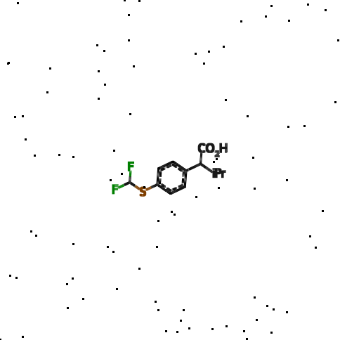 CC(C)C(C(=O)O)c1ccc(SC(F)F)cc1